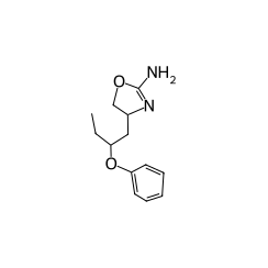 CCC(CC1COC(N)=N1)Oc1ccccc1